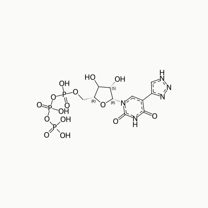 O=c1[nH]c(=O)n([C@@H]2O[C@H](COP(=O)(O)OP(=O)(O)OP(=O)(O)O)C(O)[C@@H]2O)cc1-c1c[nH]nn1